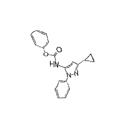 O=C(Nc1cc(C2CC2)nn1-c1ccccc1)Oc1ccccc1